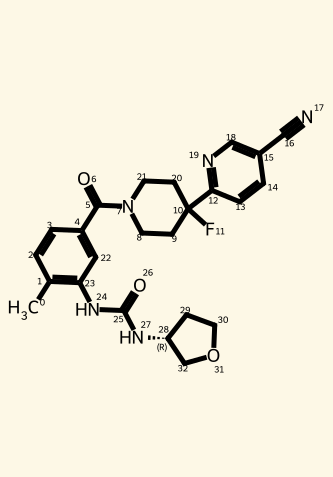 Cc1ccc(C(=O)N2CCC(F)(c3ccc(C#N)cn3)CC2)cc1NC(=O)N[C@@H]1CCOC1